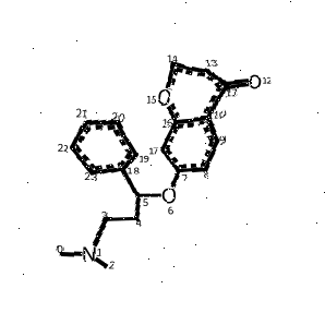 CN(C)CCC(Oc1ccc2c(=O)ccoc2c1)c1ccccc1